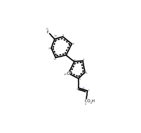 O=C(O)/C=C/c1ccc(-c2ccc(F)cc2)o1